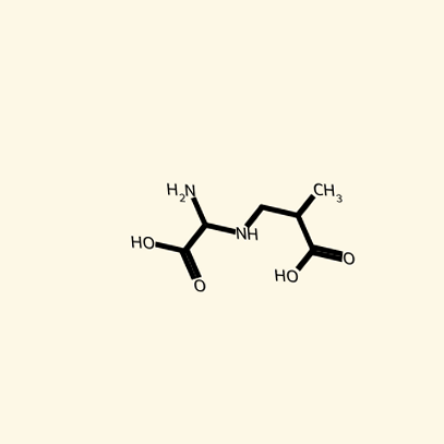 CC(CNC(N)C(=O)O)C(=O)O